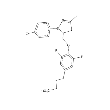 CC1=NN(c2ccc(Cl)cc2)C(COc2c(F)cc(CCCC(=O)O)cc2F)C1